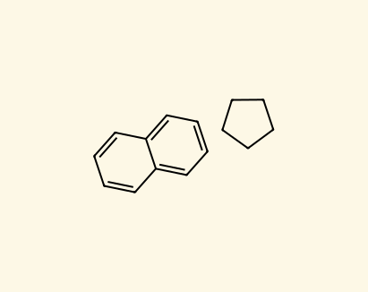 C1CCCC1.c1ccc2ccccc2c1